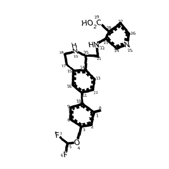 Cc1cc(OC(F)F)ccc1-c1ccc2c(c1)CCNC2CNc1cnccc1C(=O)O